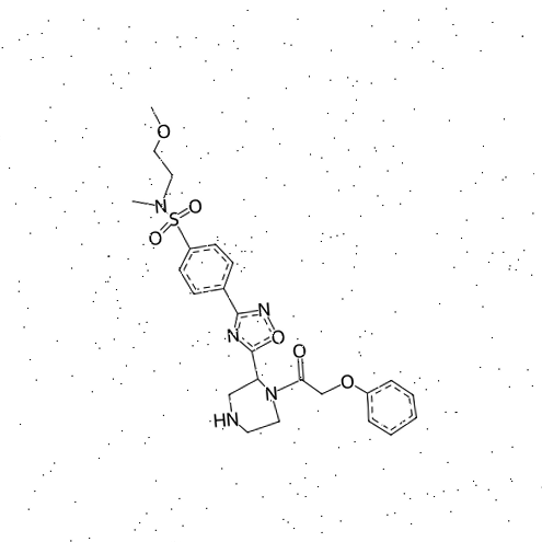 COCCN(C)S(=O)(=O)c1ccc(-c2noc(C3CNCCN3C(=O)COc3ccccc3)n2)cc1